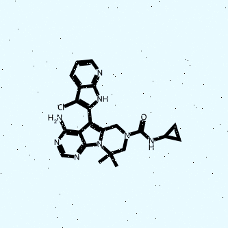 CC1(C)CN(C(=O)NC2CC2)Cc2c(-c3[nH]c4ncccc4c3Cl)c3c(N)ncnc3n21